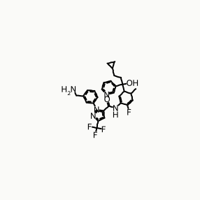 CC1C=C(F)C(NC(=O)c2cc(C(F)(F)F)nn2-c2cccc(CN)c2)=CC1C(O)(CCC1CC1)c1cccnc1